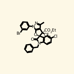 CCOC(=O)[C@@]1(C(F)(F)F)c2c(C)nn(-c3cccc(Br)c3)c2O[C@@]12C(=O)N(Cc1ccccc1)c1ccc(Cl)cc12